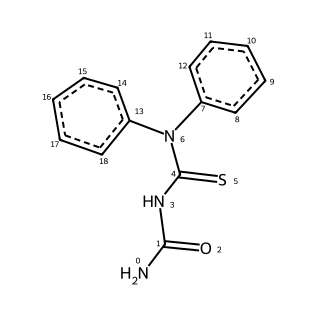 NC(=O)NC(=S)N(c1ccccc1)c1ccccc1